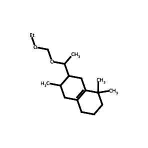 CCOCOC(C)C1CC2=C(CCCC2(C)C)CC1C